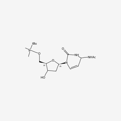 CC(=O)NC1C=CN([C@H]2CC(O)[C@@H](CO[Si](C)(C)C(C)(C)C)O2)C(=O)N1